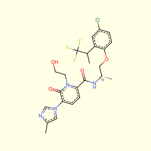 Cc1cn(-c2ccc(C(=O)N[C@@H](C)COc3ccc(Cl)cc3C(C)C(F)(F)F)n(CCO)c2=O)cn1